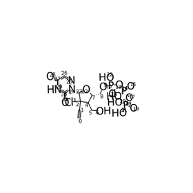 C#CC1(Cl)C(CO)[C@@H](COP(=O)(O)OP(=O)(O)OP(=O)(O)O)O[C@H]1n1ncc(=O)[nH]c1=O